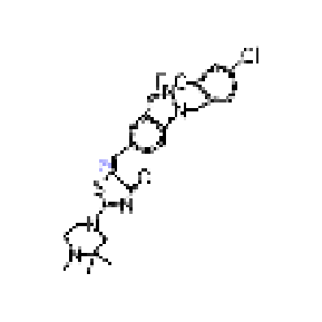 CN1CCN(C2=NC(=O)/C(=C\c3ccc4c(cnn4Cc4ccc(Cl)cc4C(F)(F)F)c3)S2)CC1(C)C